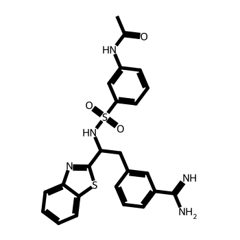 CC(=O)Nc1cccc(S(=O)(=O)NC(Cc2cccc(C(=N)N)c2)c2nc3ccccc3s2)c1